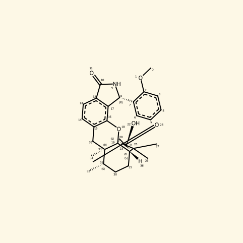 COc1ccccc1[C@H]1NC(=O)c2ccc3c(c21)O[C@@]12C[C@@H](O)C(=O)C(C)(C)[C@@H]1CC[C@H](C)[C@@]2(C)C3